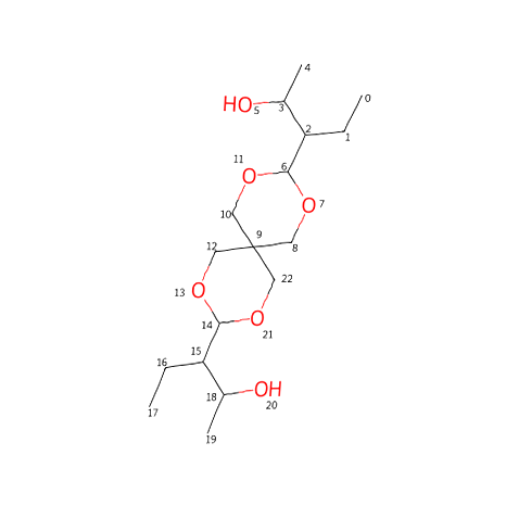 CCC(C(C)O)C1OCC2(CO1)COC(C(CC)C(C)O)OC2